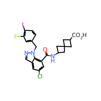 O=C(NC1CC2(C1)CC(C(=O)O)C2)c1cc(Cl)cc2cnn(Cc3ccc(I)c(F)c3)c12